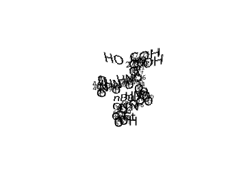 CCCCc1c2c(nc3cc4c(c(NC(=O)OCc5ccc(O[C@H]6C[C@@H](O)[C@H](O)[C@@H](C(=O)O)O6)c(NC(=O)CCNC(=O)CCN6C(=O)C=CC6=O)c5)c13)OCO4)-c1cc3c(c(=O)n1C2)COC(=O)[C@]3(O)CC